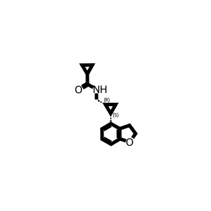 O=C(NC[C@@H]1C[C@@H]1c1cccc2c1CCO2)C1CC1